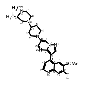 COc1cc2c(-c3cnn4cc(N5CCC(N6CCN(C)[C@@H](C)C6)CC5)cnc34)ccnc2cc1F